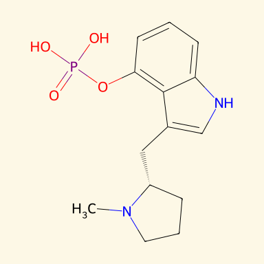 CN1CCC[C@H]1Cc1c[nH]c2cccc(OP(=O)(O)O)c12